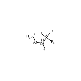 C[SiH](O[SiH3])C(C)(F)F